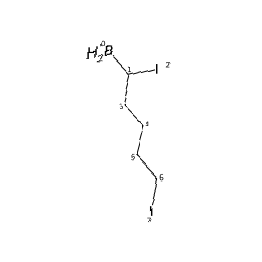 BC(I)CCCCI